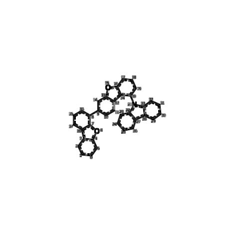 c1ccc2c(c1)oc1c(-c3ccc4c(c3)oc3cccc(-n5c6ccccc6c6ccccc65)c34)cccc12